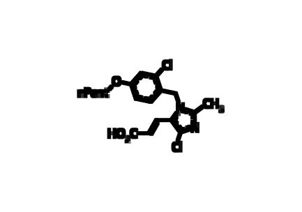 CCCCCOc1ccc(Cn2c(C)nc(Cl)c2C=CC(=O)O)c(Cl)c1